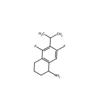 CC(C)c1c(F)cc2c(c1F)CCCC2N